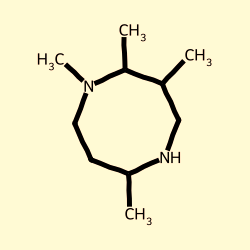 CC1CCN(C)C(C)C(C)CN1